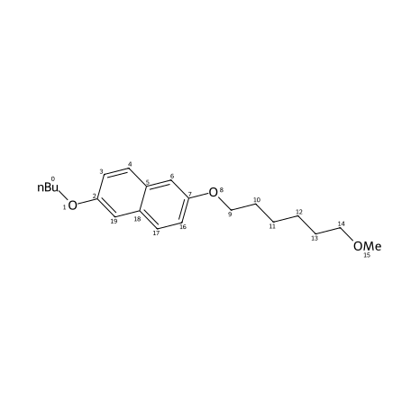 CCCCOc1ccc2cc(OCCCCCCOC)ccc2c1